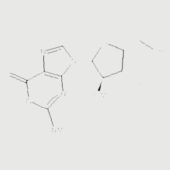 CNc1nc2c(ncn2[C@@H]2O[C@H](CO)[C@H](O)[C@H]2OC)c(=O)[nH]1